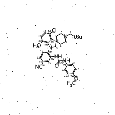 CC(C)(C)CN1CCC2(CC1)CN(c1ccc(C#N)cc1NC(=O)Nc1ccc(OC(F)(F)F)cc1)c1c(O)ccc(Cl)c12